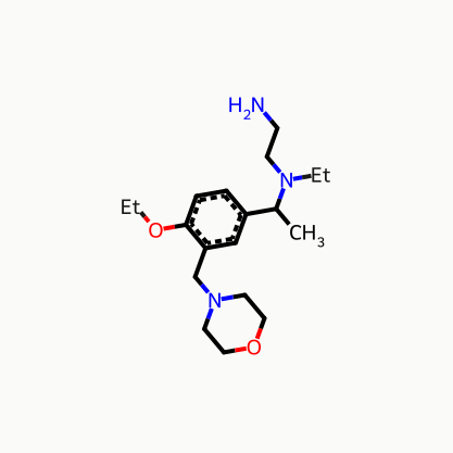 CCOc1ccc(C(C)N(CC)CCN)cc1CN1CCOCC1